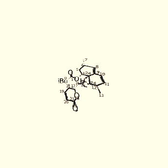 CC[C@@H](C)C(=O)O[C@@H]1C[C@H](C)C=C2C=C[C@@H](C)[C@@H](CC[C@H]3CC=CC(=O)O3)[C@@H]21